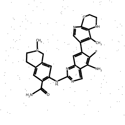 Cc1c(-c2cc3nc(Nc4cc5c(cc4C(N)=O)CCN(C)C5)ncc3c(N)c2F)cnc2c1NCCO2